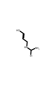 CCC(N)NCC=CO